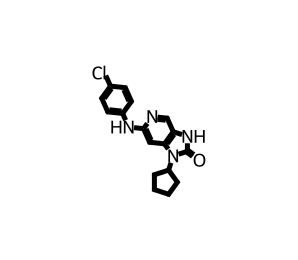 O=c1[nH]c2cnc(Nc3ccc(Cl)cc3)cc2n1C1CCCC1